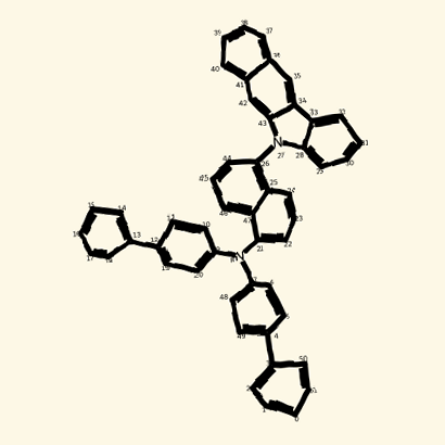 c1ccc(-c2ccc(N(c3ccc(-c4ccccc4)cc3)c3cccc4c(-n5c6ccccc6c6cc7ccccc7cc65)cccc34)cc2)cc1